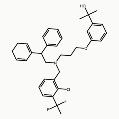 CC(C)(O)c1cccc(OCCCN(Cc2cccc(C(C)(F)F)c2Cl)CC(C2=CCCC=C2)c2ccccc2)c1